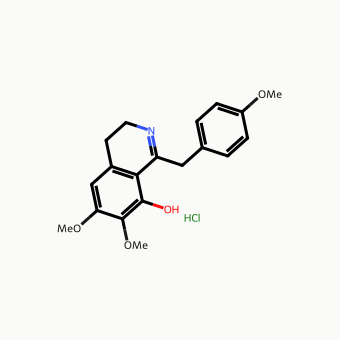 COc1ccc(CC2=NCCc3cc(OC)c(OC)c(O)c32)cc1.Cl